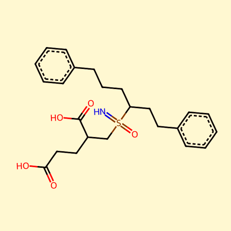 N=S(=O)(CC(CCC(=O)O)C(=O)O)C(CCCc1ccccc1)CCc1ccccc1